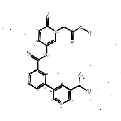 COC(=O)Cn1cc(NC(=O)c2cccc(-c3cncc(C(C)C)c3)c2)ccc1=O